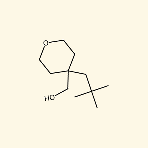 CC(C)(C)CC1(CO)CCOCC1